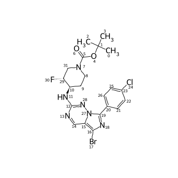 CC(C)(C)OC(=O)N1CC[C@@H](Nc2ncc3c(Br)nc(-c4ccc(Cl)cc4)n3n2)[C@H](F)C1